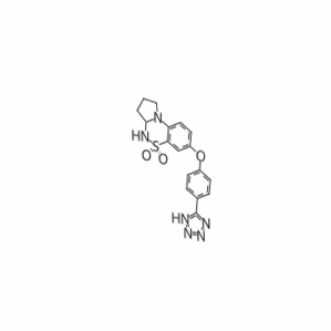 O=S1(=O)NC2CCCN2c2ccc(Oc3ccc(-c4nnn[nH]4)cc3)cc21